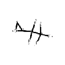 FC(F)(F)C(F)(F)C1CO1